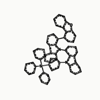 c1ccc([Si](c2ccccc2)(c2ccccc2)c2ccc(-n3c4ccccc4c4cccc(-n5c6ccccc6c6cccc(-c7cccc8oc9ccccc9c78)c65)c43)cc2)cc1